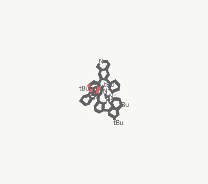 CC(C)(C)c1cc(-c2cccc(-c3cc(C(C)(C)C)cc(C(C)(C)C)c3)c2[N+]23c4ccccc4[N+]24c2cccc5c2[N+]2(c6c(ccc7c8ccccc8n(c67)-c6cccc[n+]62)-c2cc6cnccc6cc2-5)C43)cc(C(C)(C)C)c1